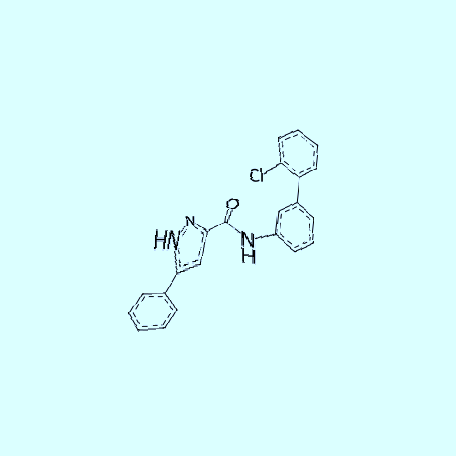 O=C(Nc1cccc(-c2ccccc2Cl)c1)c1cc(-c2ccccc2)[nH]n1